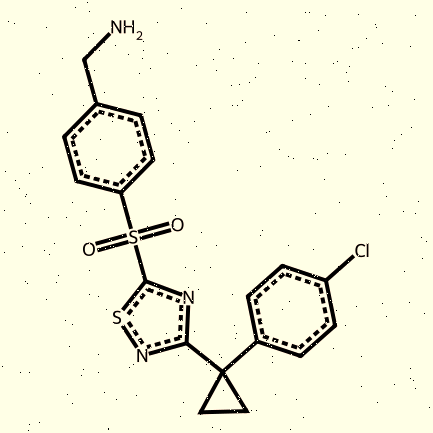 NCc1ccc(S(=O)(=O)c2nc(C3(c4ccc(Cl)cc4)CC3)ns2)cc1